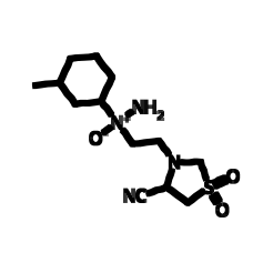 CC1CCCC([N+](N)([O-])CCN2CS(=O)(=O)CC2C#N)C1